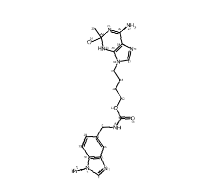 CC(C)n1cnc2cc(CNC(=O)OCCCCn3cnc4c3NC(C)(Cl)N=C4N)ccc21